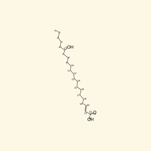 CCCCCC(O)CCCCCCCCCCCCC/C=C/C(=O)O